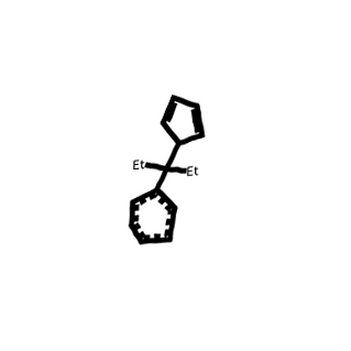 CCC(CC)([C]1C=CC=C1)c1ccccc1